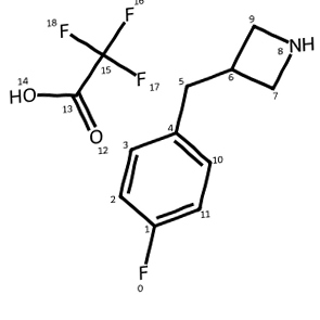 Fc1ccc(CC2CNC2)cc1.O=C(O)C(F)(F)F